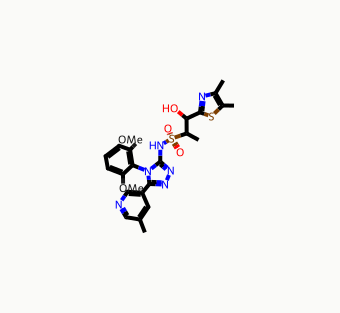 COc1cccc(OC)c1-n1c(NS(=O)(=O)C(C)C(O)c2nc(C)c(C)s2)nnc1-c1cncc(C)c1